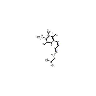 CCC(CC)CO/C=C/C=C\c1nc(C)c(C(=O)O)c(N)c1C